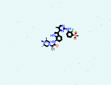 CC[C@@H](C(=O)Nc1cccc2c(-c3nc(Nc4cccc(S(C)(=O)=O)c4F)ncc3C)c[nH]c12)N1C[C@H](C)N(C)[C@@H](C)C1